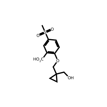 CS(=O)(=O)c1ccc(OCC2(CO)CC2)c(C(=O)O)c1